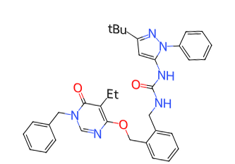 CCc1c(OCc2ccccc2CNC(=O)Nc2cc(C(C)(C)C)nn2-c2ccccc2)ncn(Cc2ccccc2)c1=O